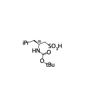 CC(C)C[C@@H](CS(=O)(=O)O)NC(=O)OC(C)(C)C